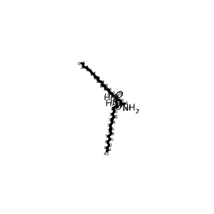 CCCCCCCCC=CCCCCCCCCNC(=O)C(CCCN)NC(=O)CCCCCCCC=CCCCCCCCC